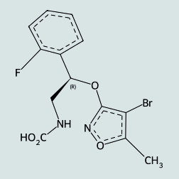 Cc1onc(O[C@@H](CNC(=O)O)c2ccccc2F)c1Br